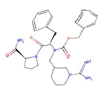 N=C(N)N1CCCC(CN(C(=O)OCc2ccccc2)[C@H](Cc2ccccc2)C(=O)N2CCC[C@H]2C(N)=O)C1